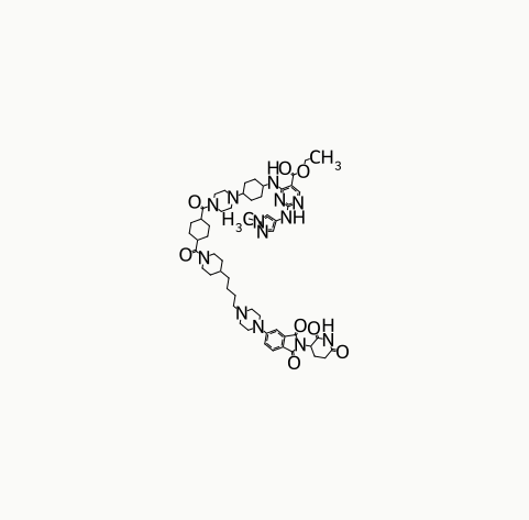 CCOC(=O)c1cnc(Nc2cnn(C)c2)nc1NC1CCC(N2CCN(C(=O)C3CCC(C(=O)N4CCC(CCCCN5CCN(c6ccc7c(c6)C(=O)N(C6CCC(=O)NC6=O)C7=O)CC5)CC4)CC3)CC2)CC1